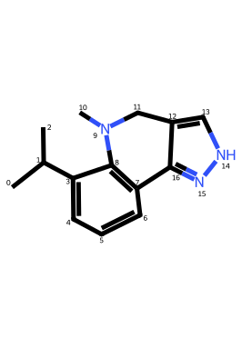 CC(C)c1cccc2c1N(C)Cc1c[nH]nc1-2